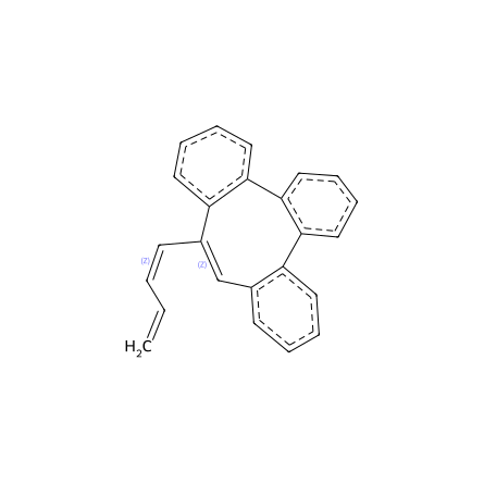 C=C/C=C\C1=C\c2ccccc2-c2ccccc2-c2ccccc21